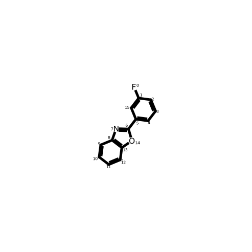 Fc1cccc(-c2nc3ccc[c]c3o2)c1